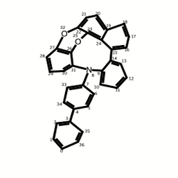 c1ccc(-c2ccc(N3c4ccccc4-c4cccc5ccc6c(c45)Oc4c(cccc43)O6)cc2)cc1